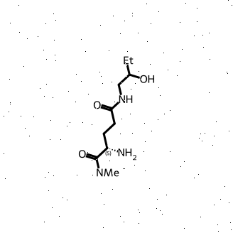 CCC(O)CNC(=O)CC[C@H](N)C(=O)NC